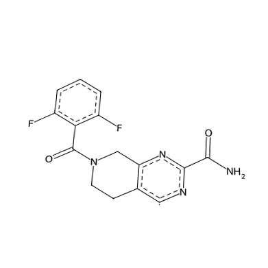 NC(=O)c1n[c]c2c(n1)CN(C(=O)c1c(F)cccc1F)CC2